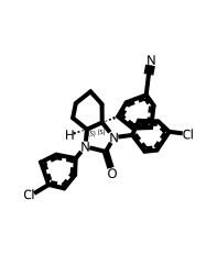 N#Cc1cccc([C@@]23CCCC[C@@H]2N(c2ccc(Cl)cc2)C(=O)N3c2ccc(Cl)cc2)c1